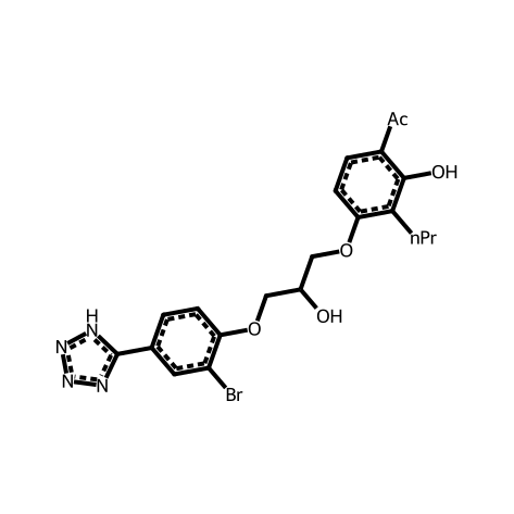 CCCc1c(OCC(O)COc2ccc(-c3nnn[nH]3)cc2Br)ccc(C(C)=O)c1O